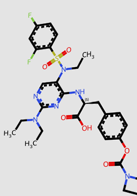 CCN(CC)c1ncc(N(CC)S(=O)(=O)c2ccc(F)cc2F)c(N[C@@H](Cc2ccc(OC(=O)N3CCC3)cc2)C(=O)O)n1